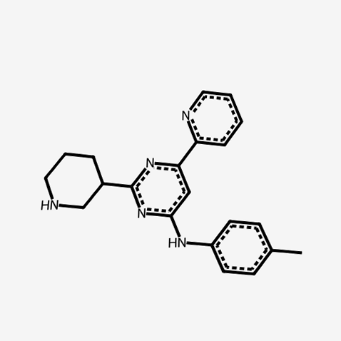 Cc1ccc(Nc2cc(-c3ccccn3)nc(C3CCCNC3)n2)cc1